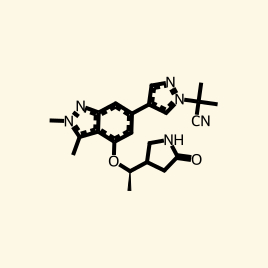 Cc1c2c(O[C@H](C)C3CNC(=O)C3)cc(-c3cnn(C(C)(C)C#N)c3)cc2nn1C